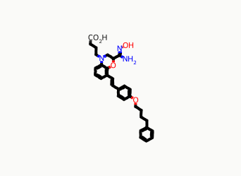 NC(=NO)C1CN(CCCC(=O)O)c2cccc(C=Cc3ccc(OCCCCc4ccccc4)cc3)c2O1